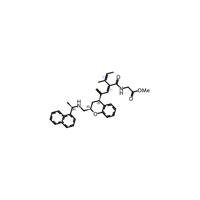 C=C(/C=C(C(=O)NCC(=O)OC)\C(C)=C/C)[C@@H]1C[C@H](CN[C@H](C)c2cccc3ccccc23)Oc2ccccc21